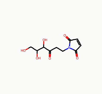 O=C(CCN1C(=O)C=CC1=O)C(O)C(O)CO